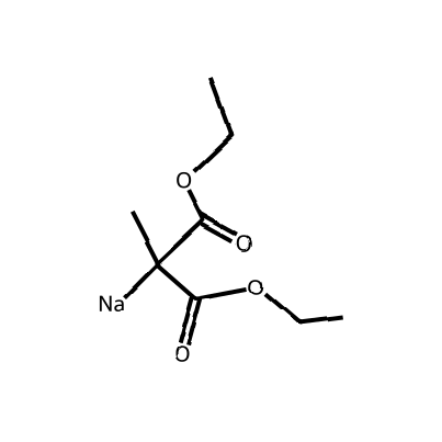 CCOC(=O)[C](C)([Na])C(=O)OCC